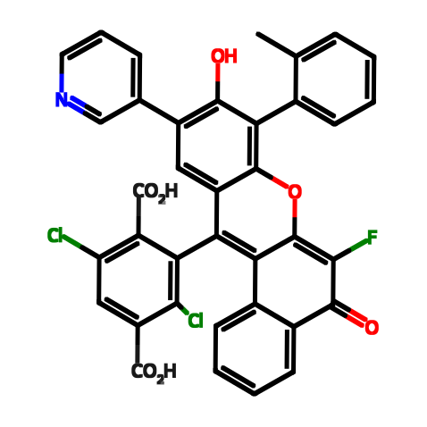 Cc1ccccc1-c1c(O)c(-c2cccnc2)cc2c(-c3c(Cl)c(C(=O)O)cc(Cl)c3C(=O)O)c3c4ccccc4c(=O)c(F)c-3oc12